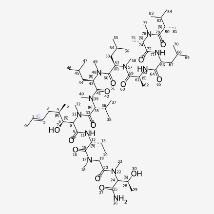 C/C=C/C[C@@H](C)[C@H](O)C(C(=O)N[C@H](CC)C(=O)N(C)CC(=O)N(C)C(C(N)=O)[C@H](C)O)N(C)C(=O)[C@@H](C(C)C)N(C)C(=O)[C@@H](CC(C)C)N(C)C(=O)[C@@H](CC(C)C)N(C)C(=O)[C@H](C)NC(=O)C(CC(C)C)NC(=O)[C@H](C)N(C)C(=O)[C@@H](C)C(C)C